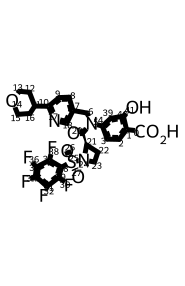 O=C(O)c1ccc(N(Cc2ccc(C3CCOCC3)nc2)C(=O)[C@H]2CCN2S(=O)(=O)c2c(F)c(F)c(F)c(F)c2F)cc1O